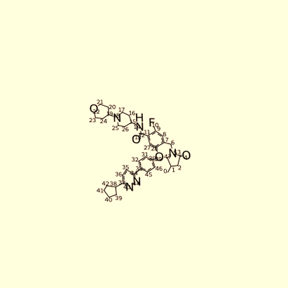 CC1CC(=O)N(Cc2cc(F)c(C(=O)NC3CCN(C4CCOCC4)CC3)cc2Oc2ccc(-c3ccc(C4CCCC4)nn3)cc2)C1